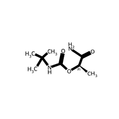 C[C@@H](OC(=O)NC(C)(C)C)C(N)=O